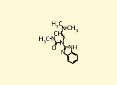 CN(C)CCN(C(=O)N(C)C)c1nc2ccccc2[nH]1